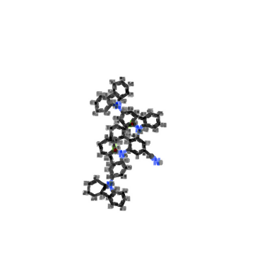 N#Cc1cc(-n2c3ccccc3c3cc(-n4c5c(c6ccccc64)CCC=C5)ccc32)c(-c2c(F)cccc2F)c(-n2c3ccccc3c3cc(-n4c5ccccc5c5ccccc54)ccc32)c1